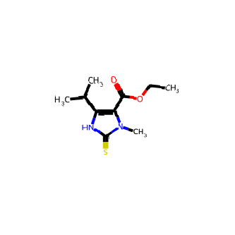 CCOC(=O)c1c(C(C)C)[nH]c(=S)n1C